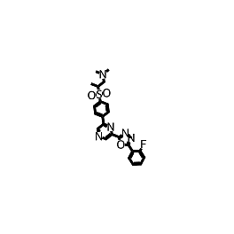 CC(CN(C)C)S(=O)(=O)c1ccc(-c2cncc(-c3nnc(-c4ccccc4F)o3)n2)cc1